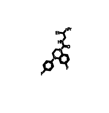 CCCC(CC)CNC(=O)N1CCN(c2ccc(F)cc2)c2cc(F)ccc21